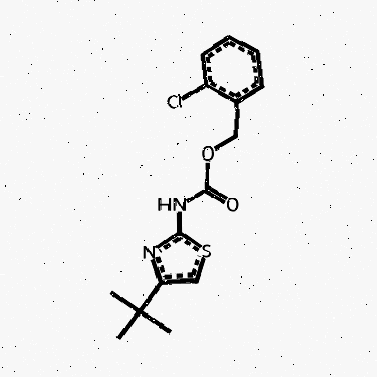 CC(C)(C)c1csc(NC(=O)OCc2ccccc2Cl)n1